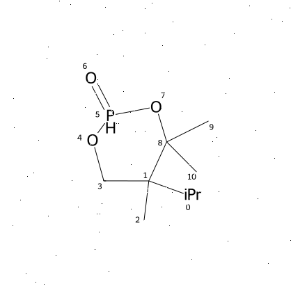 CC(C)C1(C)CO[PH](=O)OC1(C)C